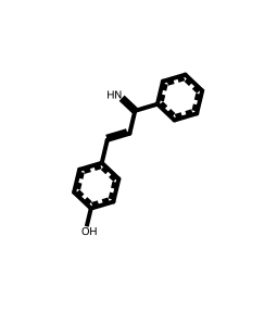 N=C(C=Cc1ccc(O)cc1)c1ccccc1